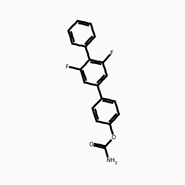 NC(=O)Oc1ccc(-c2cc(F)c(-c3ccccc3)c(F)c2)cc1